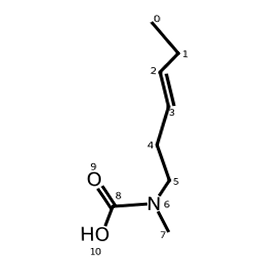 CCC=CCCN(C)C(=O)O